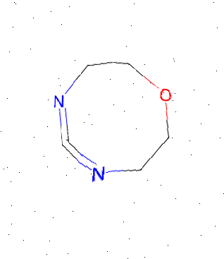 C1=NCCOCCN=1